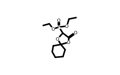 CCOP(=O)(OCC)C1OC2(CCCCC2)OC1=O